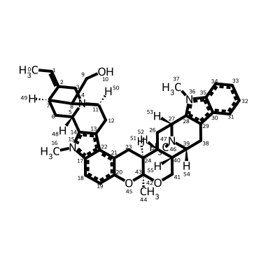 C/C=C1/CN2[C@H]3C[C@@H]1C(CO)[C@@H]2Cc1c3n(C)c2ccc3c(c12)C[C@H]1[C@@H]2C[C@@H]4c5c(c6ccccc6n5C)C[C@H]([C@@H]2CO[C@@]1(C)O3)N4C